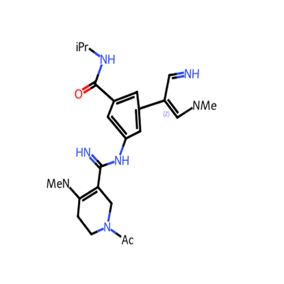 CN/C=C(\C=N)c1cc(NC(=N)C2=C(NC)CCN(C(C)=O)C2)cc(C(=O)NC(C)C)c1